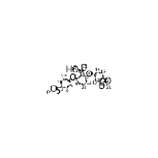 COSc1ccc(Oc2cccc(Oc3ccc4c(c3)OCO4)c2C(=O)O)cc1